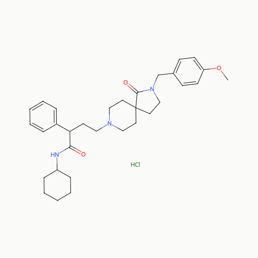 COc1ccc(CN2CCC3(CCN(CCC(C(=O)NC4CCCCC4)c4ccccc4)CC3)C2=O)cc1.Cl